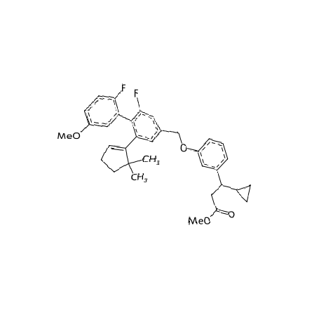 COC(=O)CC(c1cccc(OCc2cc(F)c(-c3cc(OC)ccc3F)c(C3=CCCC3(C)C)c2)c1)C1CC1